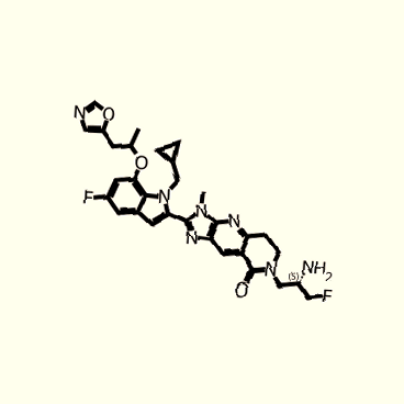 CC(Cc1cnco1)Oc1cc(F)cc2cc(-c3nc4cc5c(nc4n3C)CCN(C[C@H](N)CF)C5=O)n(CC3CC3)c12